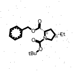 CC[C@H]1C[C@@H](C(=O)OCc2ccccc2)N(C(=O)OC(C)(C)C)C1